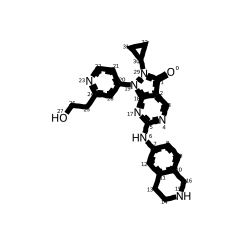 O=c1c2cnc(Nc3ccc4c(c3)CCNC4)nc2n(-c2ccnc(CCO)c2)n1C1CC1